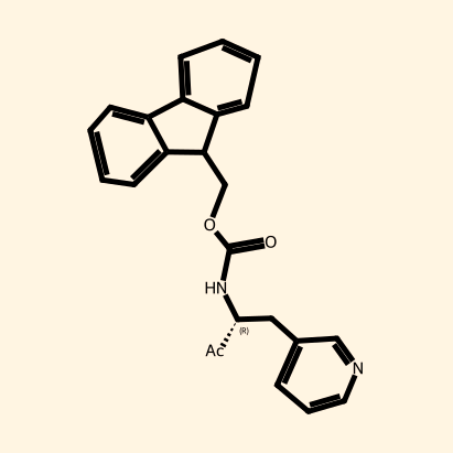 CC(=O)[C@@H](Cc1cccnc1)NC(=O)OCC1c2ccccc2-c2ccccc21